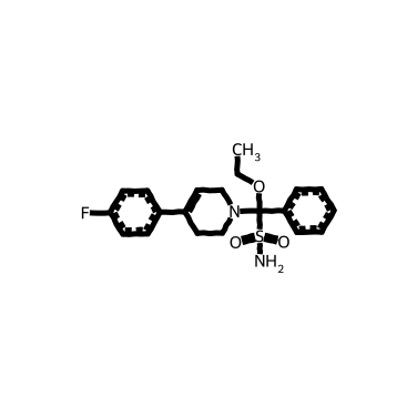 CCOC(c1ccccc1)(N1CC=C(c2ccc(F)cc2)CC1)S(N)(=O)=O